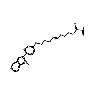 C=C(C)C(=O)OCCC/C=C/CCCOc1ccc(-c2cc3ccccc3n2C)cc1